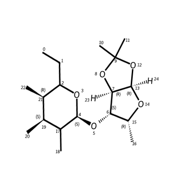 CCC1O[C@@H](O[C@@H]2[C@H]3OC(C)(C)O[C@H]3O[C@@H]2C)C(C)[C@@H](C)[C@H]1C